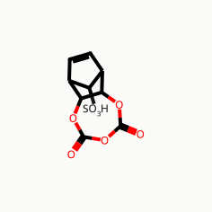 O=C1OC(=O)OC2C3C=CC(C2O1)C3S(=O)(=O)O